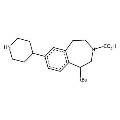 CC(C)(C)C1CN(C(=O)O)CCc2cc(C3CCNCC3)ccc21